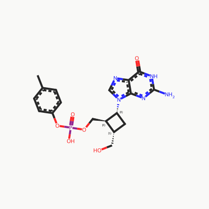 Cc1ccc(OP(=O)(O)OC[C@@H]2[C@@H](CO)C[C@H]2n2cnc3c(=O)[nH]c(N)nc32)cc1